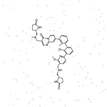 COc1nc(-c2cccc(-c3cccc(-c4ccn5c(=O)c(CN(C)C[C@H]6CCC(=O)N6)cnc5c4)c3C)c2Cl)ccc1CNC[C@H]1CCC(=O)N1